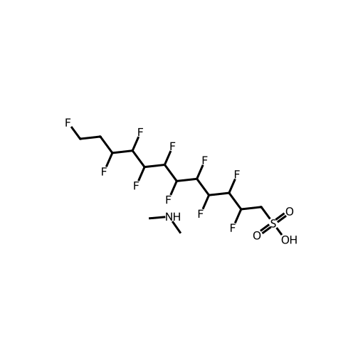 CNC.O=S(=O)(O)CC(F)C(F)C(F)C(F)C(F)C(F)C(F)C(F)C(F)CCF